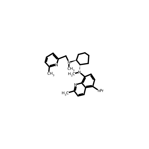 CCCc1ccc(N(C)[C@H]2CCCC[C@@H]2N(C)Cc2cccc(C)n2)c2nc(C)ccc12